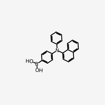 OB(O)c1ccc(N(c2ccccc2)c2cccc3ccccc23)cc1